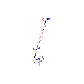 CN1C(=O)NC2CS[C@@H](CCCCC(=O)NCCOCCOCCOCCOCCC(N)=O)C21